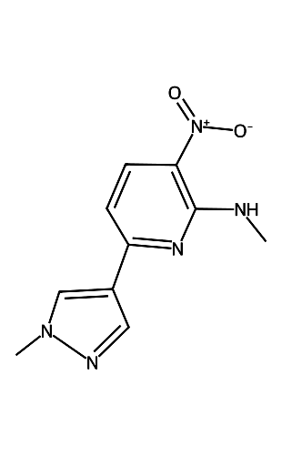 CNc1nc(-c2cnn(C)c2)ccc1[N+](=O)[O-]